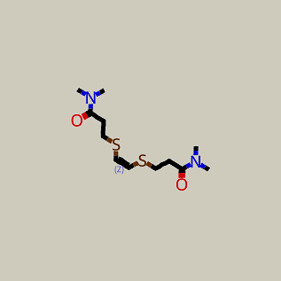 CN(C)C(=O)CCS/C=C\SCCC(=O)N(C)C